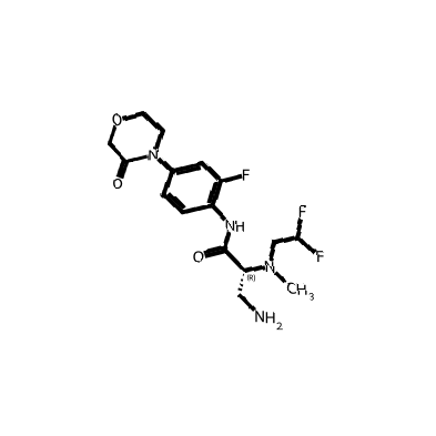 CN(CC(F)F)[C@H](CN)C(=O)Nc1ccc(N2CCOCC2=O)cc1F